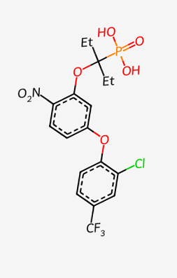 CCC(CC)(Oc1cc(Oc2ccc(C(F)(F)F)cc2Cl)ccc1[N+](=O)[O-])P(=O)(O)O